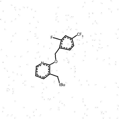 CC(C)(C)Cc1cccnc1OCc1ccc(C(F)(F)F)cc1F